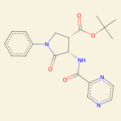 CC(C)(C)OC(=O)[C@H]1CN(c2ccccc2)C(=O)[C@H]1NC(=O)c1cnccn1